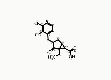 CCC12C(=O)C(Cc3cccc(Cl)c3Cl)CC1C2C(=O)O